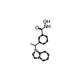 CC(c1cccc(C(=O)NO)c1)n1ccc2ccccc21